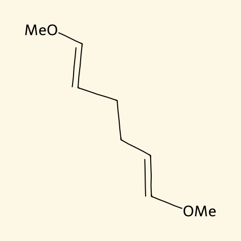 COC=CCCC=COC